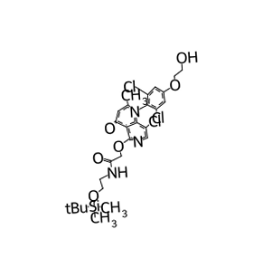 Cc1cc(=O)c2c(OCC(=O)NCCO[Si](C)(C)C(C)(C)C)ncc(Cl)c2n1-c1c(Cl)cc(OCCO)cc1Cl